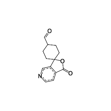 O=CC1CCC2(CC1)OC(=O)c1ccncc12